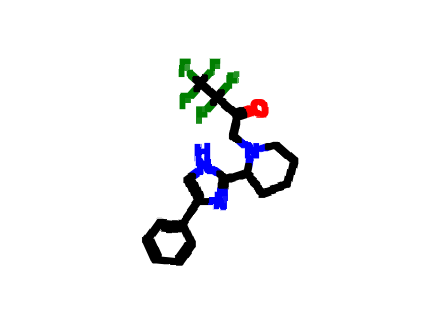 O=C(CN1CCCCC1c1nc(-c2ccccc2)c[nH]1)C(F)(F)C(F)(F)F